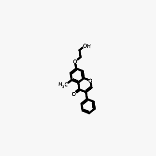 Cc1cc(OCCO)cc2occ(-c3ccccc3)c(=O)c12